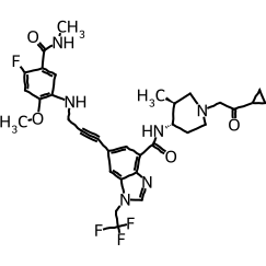 CNC(=O)c1cc(NCC#Cc2cc(C(=O)N[C@H]3CCN(CC(=O)C4CC4)C[C@@H]3C)c3ncn(CC(F)(F)F)c3c2)c(OC)cc1F